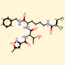 Cc1cc(C(=O)NC(C(=O)NC(CCCCNC(=O)C(C#N)=CC(C)C)C(=O)NCc2ccccc2)C(C)O)no1